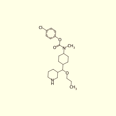 CCCOC(C1CCC(N(C)C(=O)Oc2ccc(Cl)cc2)CC1)C1CCCNC1